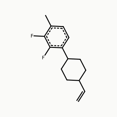 C=CC1CCC(c2ccc(C)c(F)c2F)CC1